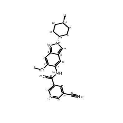 COc1cc2nn([C@H]3CC[C@H](C)CC3)cc2cc1NC(=O)c1cncc(C#N)c1